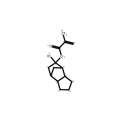 C=C(C(=O)OC1(CC)CC2CC1C1CCCC21)C(F)(F)F